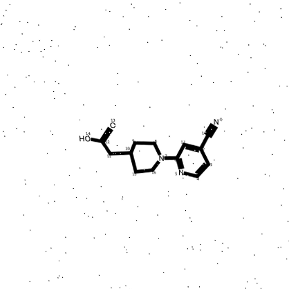 N#Cc1ccnc(N2CCC(CC(=O)O)CC2)c1